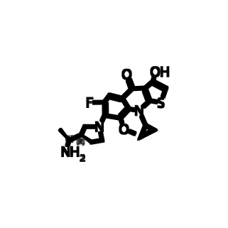 COc1c(N2CC[C@@H]([C@H](C)N)C2)c(F)cc2c(=O)c3c(O)csc3n(C3CC3)c12